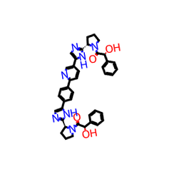 O=C([C@H](O)c1ccccc1)N1CCC[C@H]1c1ncc(-c2ccc(-c3ccc(-c4cnc([C@@H]5CCCN5C(=O)[C@H](O)c5ccccc5)[nH]4)cn3)cc2)[nH]1